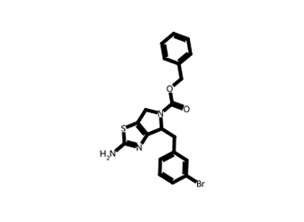 Nc1nc2c(s1)CN(C(=O)OCc1ccccc1)C2Cc1cccc(Br)c1